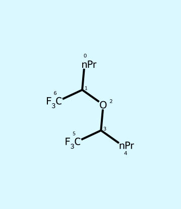 CCCC(OC(CCC)C(F)(F)F)C(F)(F)F